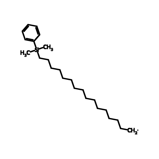 [CH2]CCCCCCCCCCCCCCC[Si](C)(C)c1ccccc1